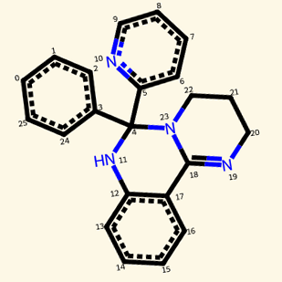 c1ccc(C2(c3ccccn3)Nc3ccccc3C3=NCCCN32)cc1